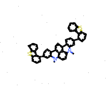 CN1c2cc(-c3cccc4sc5ccccc5c34)ccc2-c2ccc3c4c(ccc1c24)N(C)c1cc(-c2cccc4sc5ccccc5c24)ccc1-3